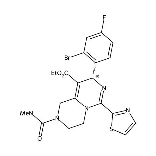 CCOC(=O)C1=C2CN(C(=O)NC)CCN2C(c2nccs2)=N[C@H]1c1ccc(F)cc1Br